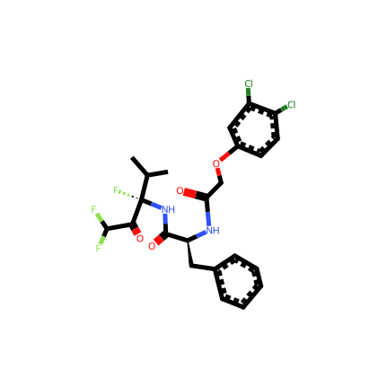 CC(C)[C@@](F)(NC(=O)[C@H](Cc1ccccc1)NC(=O)COc1ccc(Cl)c(Cl)c1)C(=O)C(F)F